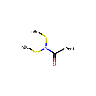 CCCCCC(=O)N(SCCCC)SCCCC